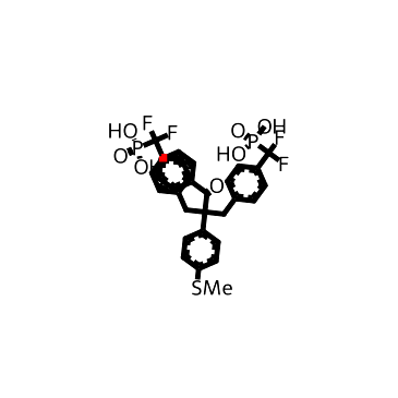 CSc1ccc(C(Cc2ccc(C(F)(F)P(=O)(O)O)cc2)(Cc2ccc(C(F)(F)P(=O)(O)O)cc2)C(=O)c2ccccc2)cc1